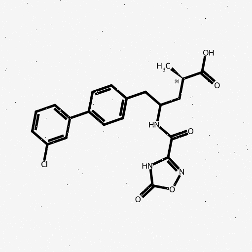 C[C@H](CC(Cc1ccc(-c2cccc(Cl)c2)cc1)NC(=O)c1noc(=O)[nH]1)C(=O)O